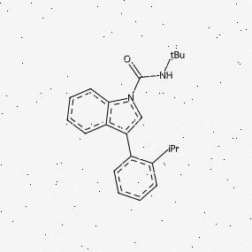 CC(C)c1ccccc1-c1cn(C(=O)NC(C)(C)C)c2ccccc12